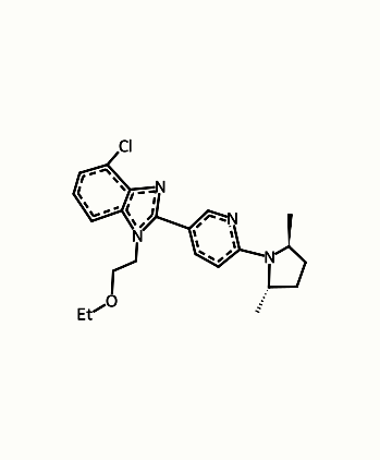 CCOCCn1c(-c2ccc(N3[C@@H](C)CC[C@@H]3C)nc2)nc2c(Cl)cccc21